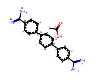 CC(=O)O.N=C(N)c1ccc(-c2ccc(-c3ccc(C(=N)N)cc3)cc2)cc1